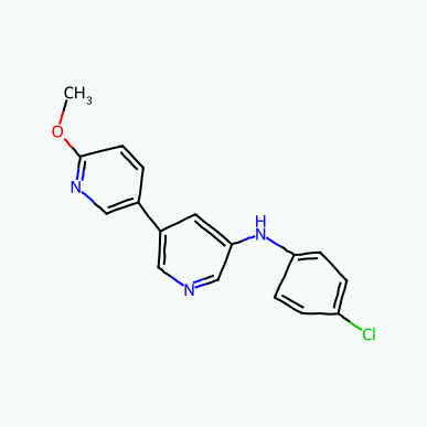 COc1ccc(-c2cncc(Nc3ccc(Cl)cc3)c2)cn1